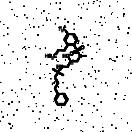 CN(C[C@H](O)CNC(C)(C)CCCc1ccccc1)S(=O)(=O)c1ccc(C(F)(F)F)cc1CCC(=O)O